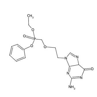 CCOP(=O)(COCCN1C=NC2C(=O)N=C(N)N=C21)Oc1ccccc1